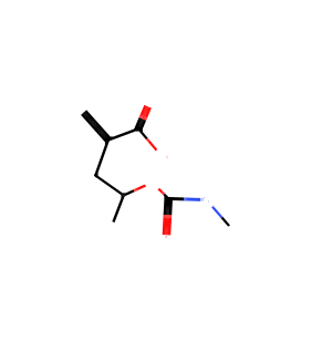 C=C(CC(C)OC(=O)NC)C(=O)O